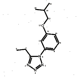 CCc1nnnn1-c1cccc(OCC(C)C)c1